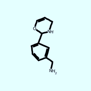 NCc1cccc(C2NCC=CO2)c1